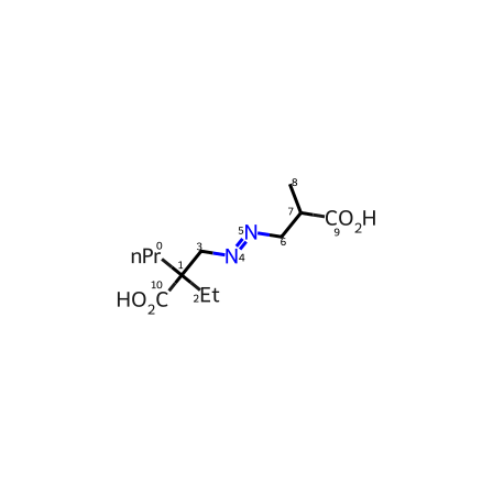 CCCC(CC)(CN=NCC(C)C(=O)O)C(=O)O